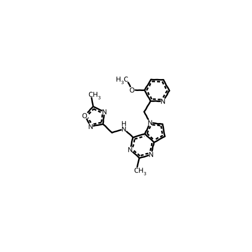 COc1cccnc1Cn1ccc2nc(C)nc(NCc3noc(C)n3)c21